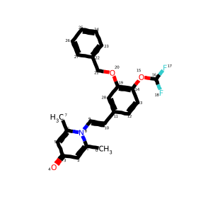 Cc1cc(=O)cc(C)n1/C=C/c1ccc(OC(F)F)c(OCc2ccccc2)c1